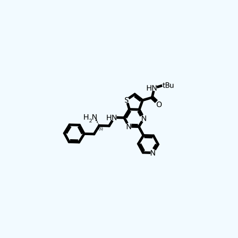 CC(C)(C)NC(=O)c1csc2c(NC[C@@H](N)Cc3ccccc3)nc(-c3ccncc3)nc12